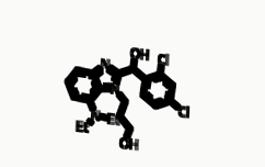 CCN(CC)c1cccc2nc(C(O)c3ccc(Cl)cc3Cl)n(CCCO)c12